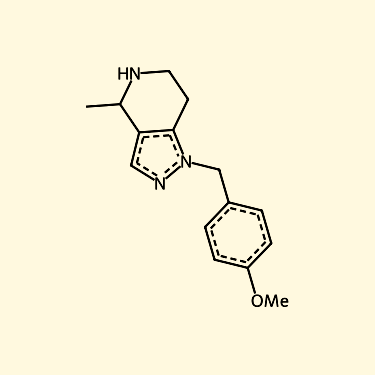 COc1ccc(Cn2ncc3c2CCNC3C)cc1